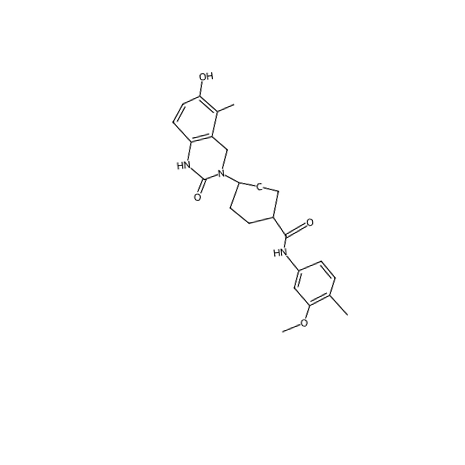 COc1cc(NC(=O)C2CCC(N3Cc4c(ccc(O)c4C)NC3=O)CC2)ccc1C